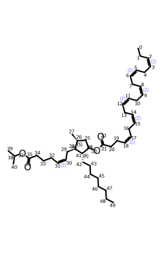 CC/C=C\C/C=C\C/C=C\C/C=C\C/C=C\C/C=C\CCC(=O)O[C@@H]1C[C@H](C)[C@H](C/C=C\CCCC(=O)OC(C)C)[C@H]1CCCCCCCC